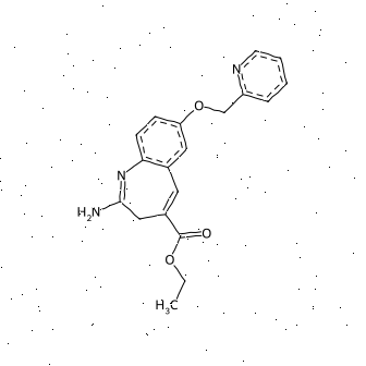 CCOC(=O)C1=Cc2cc(OCc3ccccn3)ccc2N=C(N)C1